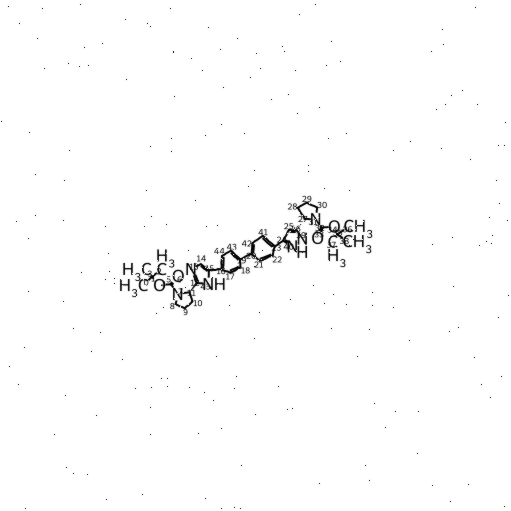 CC(C)(C)OC(=O)N1CCC[C@@H]1c1ncc(-c2ccc(-c3ccc(-c4cc([C@@H]5CCCN5C(=O)OC(C)(C)C)[nH]n4)cc3)cc2)[nH]1